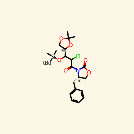 CC1(C)OC[C@H](C(O[Si](C)(C)C(C)(C)C)C(Cl)C(=O)N2C(=O)OC[C@@H]2Cc2ccccc2)O1